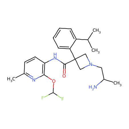 Cc1ccc(NC(=O)C2(c3ccccc3C(C)C)CN(CC(C)N)C2)c(OC(F)F)n1